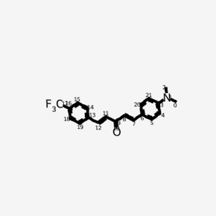 CN(C)c1ccc(/C=C/C(=O)/C=C/c2ccc(C(F)(F)F)cc2)cc1